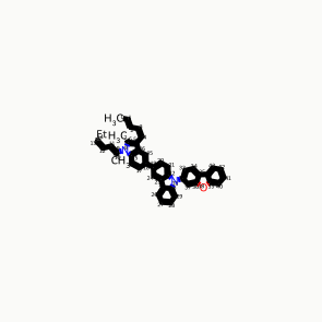 C/C=C/C=C\c1c(C)n(/C(C)=C/C=C\CC)c2ccc(-c3ccc4c(c3)c3ccccc3n4-c3ccc4c(c3)oc3ccccc34)cc12